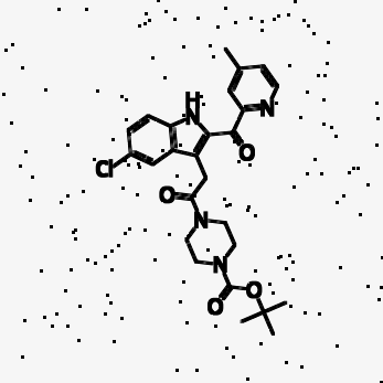 Cc1ccnc(C(=O)c2[nH]c3ccc(Cl)cc3c2CC(=O)N2CCN(C(=O)OC(C)(C)C)CC2)c1